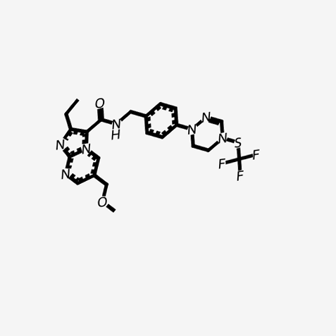 CCc1nc2ncc(COC)cn2c1C(=O)NCc1ccc(N2CCN(SC(F)(F)F)C=N2)cc1